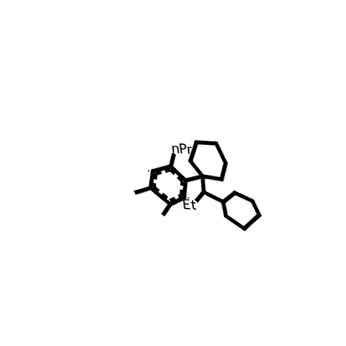 CCCc1[c]c(C)c(C)[c]c1C1(C(CC)C2CCCCC2)CCCCC1